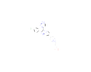 Cc1nccc(-c2c(-c3ccc(F)cc3)nc3cc(C4CCN(CCCO)CC4)ccn23)n1